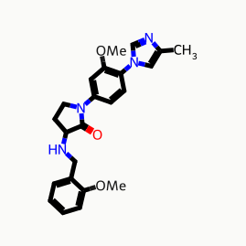 COc1ccccc1CNC1CCN(c2ccc(-n3cnc(C)c3)c(OC)c2)C1=O